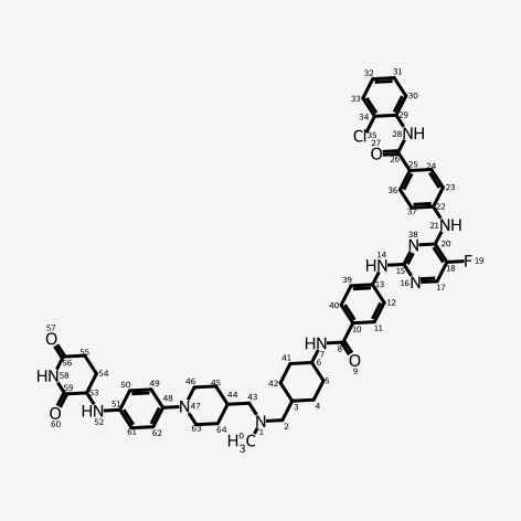 CN(CC1CCC(NC(=O)c2ccc(Nc3ncc(F)c(Nc4ccc(C(=O)Nc5ccccc5Cl)cc4)n3)cc2)CC1)CC1CCN(c2ccc(NC3CCC(=O)NC3=O)cc2)CC1